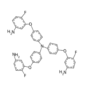 Nc1ccc(F)c(Oc2ccc(N(c3ccc(Oc4cc(N)ccc4F)cc3)c3ccc(Oc4cc(N)ccc4F)cc3)cc2)c1